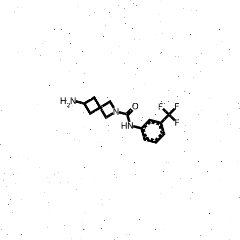 NC1CC2(C1)CN(C(=O)Nc1cccc(C(F)(F)F)c1)C2